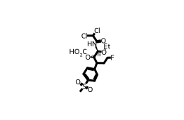 CCO[C@H](NC(=O)C(Cl)Cl)[C@H](OC(=O)O)C(CCF)c1ccc(S(C)(=O)=O)cc1